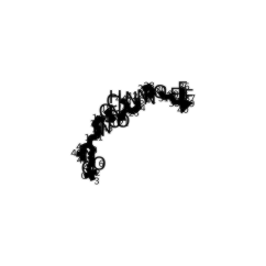 CC(C)(C)OC(=O)N1CC(CCn2ccc(S(=O)(=O)NC(=O)c3ccc(-n4ccc(OCCCC5(C(F)(F)F)CC5)n4)nc3Cl)n2)CC1(C)C